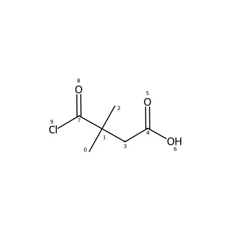 CC(C)(CC(=O)O)C(=O)Cl